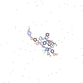 Cc1c(C(=O)N(c2ccc(O)cc2)c2cc(C#N)n(C(F)F)c2C)cc(-c2cc3c(cc2C(=O)N2Cc4ccccc4C[C@H]2CN2CCCCC2)CN(C(=O)Cc2ccc(OCCN4CCN(CCF)CC4)cc2F)CC3)n1C